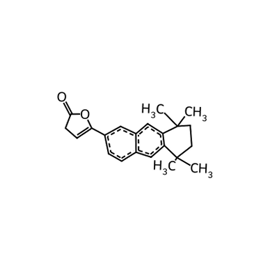 CC1(C)CCC(C)(C)c2cc3cc(C4=CCC(=O)O4)ccc3cc21